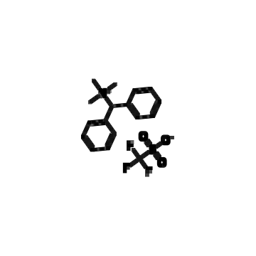 C[N+](C)(C)C(c1ccccc1)c1ccccc1.O=S(=O)([O-])C(F)(F)F